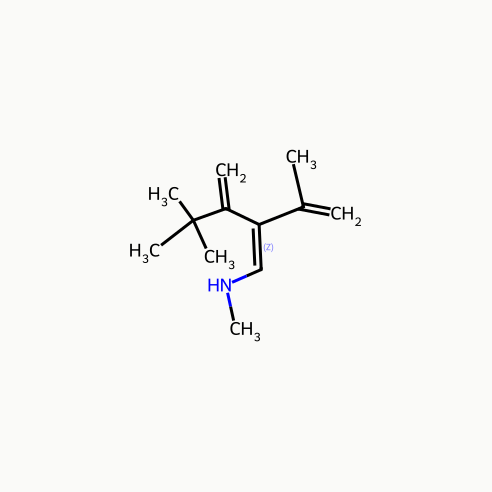 C=C(C)/C(=C/NC)C(=C)C(C)(C)C